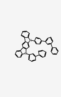 c1ccc(-c2cccc(-c3ccc(-n4c5ccccc5c5cc6c7ccccc7n(-c7cccc(-c8ccccc8)c7)c6cc54)cc3)c2)cc1